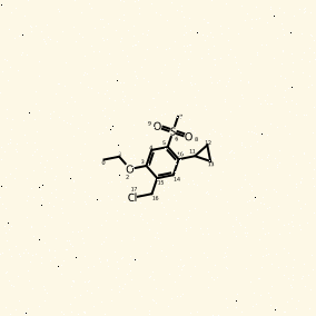 CCOc1cc(S(C)(=O)=O)c(C2CC2)cc1CCl